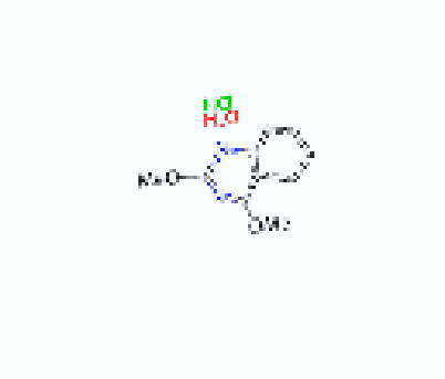 COc1nc(OC)c2ccccc2n1.Cl.O